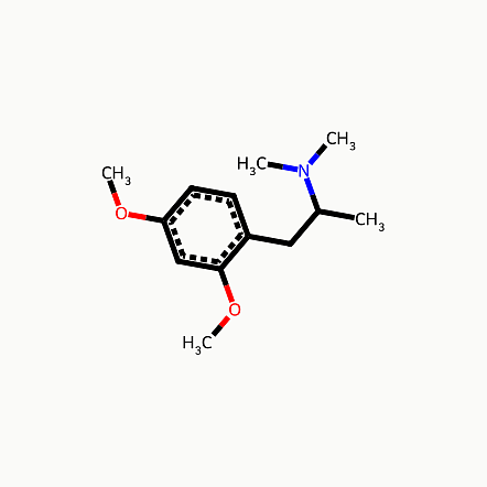 COc1ccc(CC(C)N(C)C)c(OC)c1